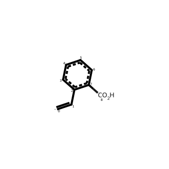 [CH]=Cc1ccccc1C(=O)O